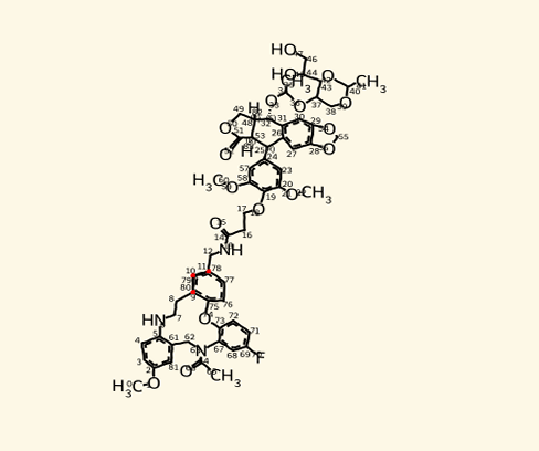 COc1ccc(NCCCCCCNC(=O)CCOc2c(OC)cc([C@@H]3c4cc5c(cc4[C@@H](OC(C)OC4COC(C)OC4C(O)CO)[C@H]4COC(=O)[C@H]34)OCO5)cc2OC)c(CN(C(C)=O)c2cc(F)ccc2Oc2ccccc2)c1